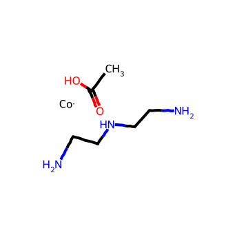 CC(=O)O.NCCNCCN.[Co]